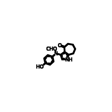 O=CN(c1ccc(O)cc1)c1c[nH]c2c1C(=O)CCCC2